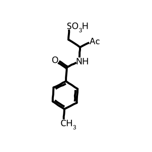 CC(=O)C(CS(=O)(=O)O)NC(=O)c1ccc(C)cc1